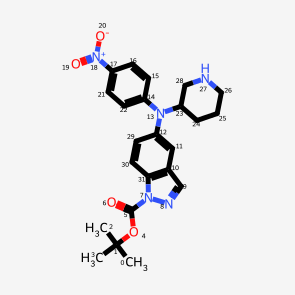 CC(C)(C)OC(=O)n1ncc2cc(N(c3ccc([N+](=O)[O-])cc3)C3CCCNC3)ccc21